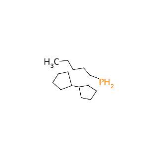 C1CCC(C2CCCC2)C1.CCCCCCP